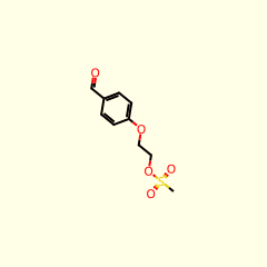 CS(=O)(=O)OCCOc1ccc(C=O)cc1